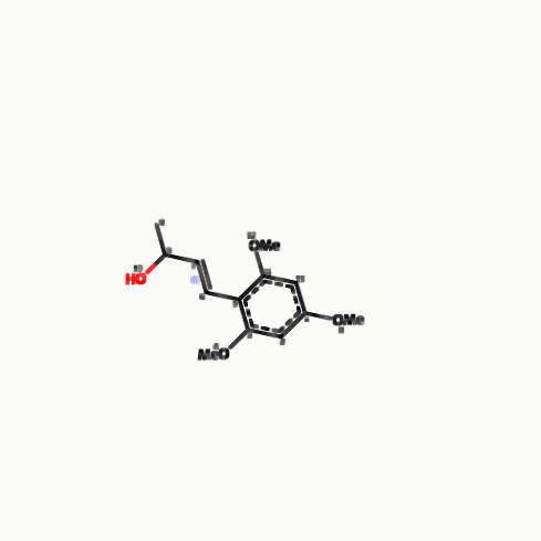 COc1cc(OC)c(/C=C/C(C)O)c(OC)c1